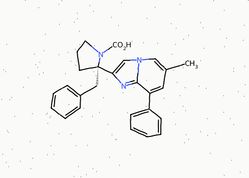 Cc1cc(-c2ccccc2)c2nc([C@@]3(Cc4ccccc4)CCCN3C(=O)O)cn2c1